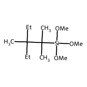 CCC(C)(CC)C(C)(C)[Si](OC)(OC)OC